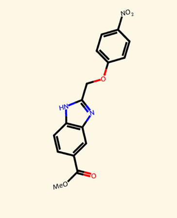 COC(=O)c1ccc2[nH]c(COc3ccc([N+](=O)[O-])cc3)nc2c1